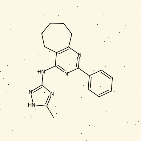 Cc1nc(Nc2nc(-c3ccccc3)nc3c2CCCCC3)n[nH]1